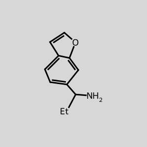 CCC(N)c1ccc2ccoc2c1